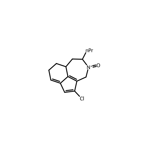 CCCC1CC2CCC=C3C=C(Cl)C(=C32)C[N+]1=O